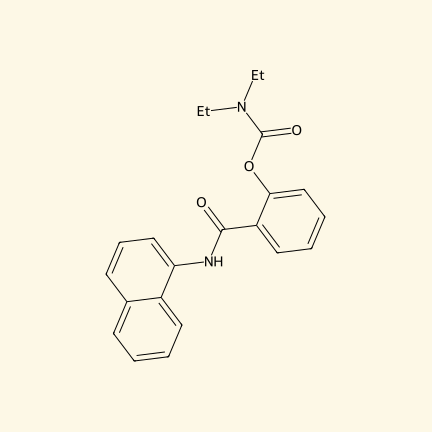 CCN(CC)C(=O)Oc1ccccc1C(=O)Nc1cccc2ccccc12